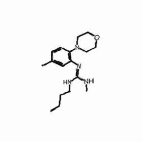 CCCCNC(=Nc1cc(C)ccc1N1CCOCC1)NC